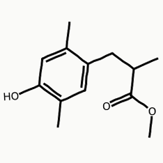 COC(=O)C(C)Cc1cc(C)c(O)cc1C